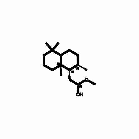 CO[C@@H](O)C[C@H]1[C@@H](C)CCC2C(C)(C)CCC[C@@]21C